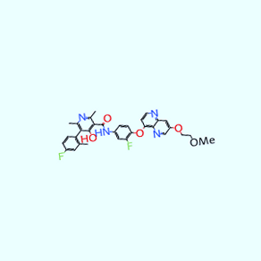 COCCOc1cnc2c(Oc3ccc(NC(=O)c4c(C)nc(C)c(-c5ccc(F)cc5C)c4O)cc3F)ccnc2c1